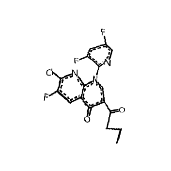 CCCC(=O)c1cn(-c2ncc(F)cc2F)c2nc(Cl)c(F)cc2c1=O